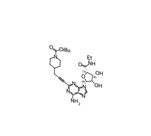 CCNC(=O)[C@H]1O[C@@H](n2cnc3c(N)nc(C#CCC4CCN(C(=O)OCC(C)C)CC4)nc32)C(O)[C@H]1O